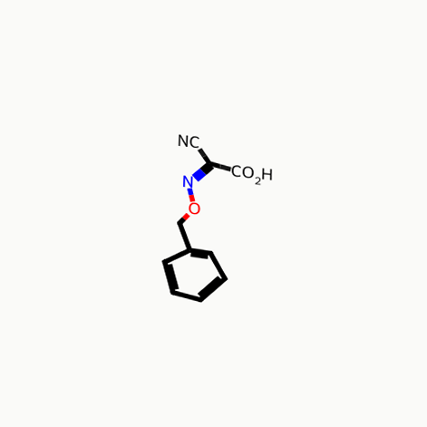 N#CC(=NOCc1ccccc1)C(=O)O